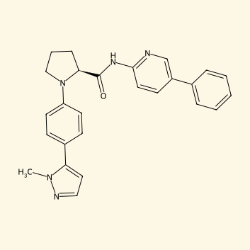 Cn1nccc1-c1ccc(N2CCC[C@H]2C(=O)Nc2ccc(-c3ccccc3)cn2)cc1